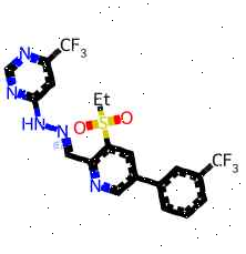 CCS(=O)(=O)c1cc(-c2cccc(C(F)(F)F)c2)cnc1/C=N/Nc1cc(C(F)(F)F)ncn1